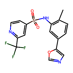 Cc1ccc(-c2cnco2)cc1NS(=O)(=O)c1ccnc(C(F)(F)F)c1